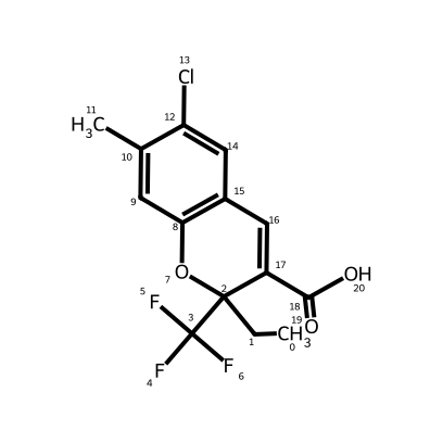 CCC1(C(F)(F)F)Oc2cc(C)c(Cl)cc2C=C1C(=O)O